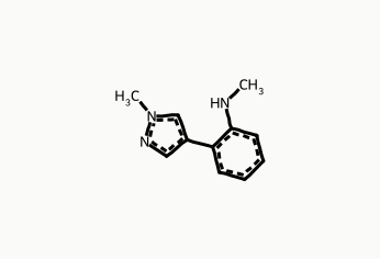 CNc1ccccc1-c1cnn(C)c1